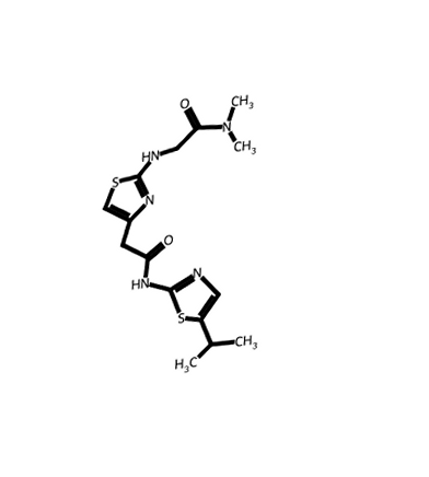 CC(C)c1cnc(NC(=O)Cc2csc(NCC(=O)N(C)C)n2)s1